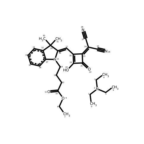 CCN(CC)CC.CCOC(=O)CCCN1C(=CC2=C(O)C(=O)C2=C(C#N)C#N)C(C)(C)c2ccccc21